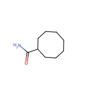 NC(=O)C1CC[CH]CCCC1